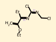 C=C(OCC)/C(CC)=N/C(Cl)=N\CCl